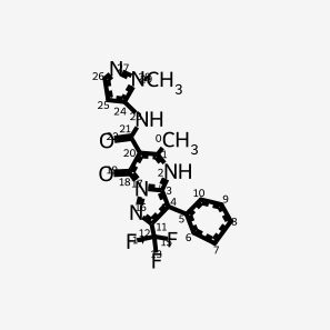 Cc1[nH]c2c(-c3ccccc3)c(C(F)(F)F)nn2c(=O)c1C(=O)Nc1ccnn1C